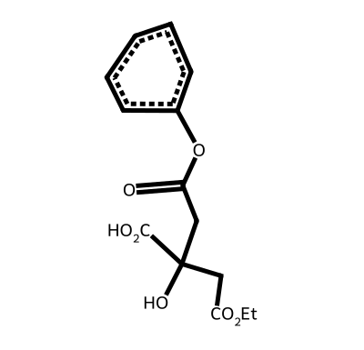 CCOC(=O)CC(O)(CC(=O)Oc1ccccc1)C(=O)O